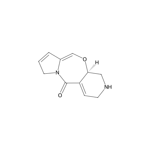 O=C1C2=CCNC[C@@H]2OC=C2C=CCN12